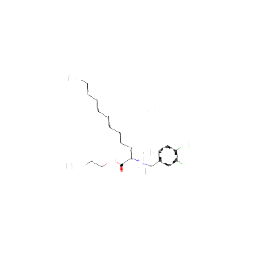 CCCCCCCCCCC(C(=O)OCCC)[N+](C)(C)Cc1ccc(Cl)c(Cl)c1.[Cl-]